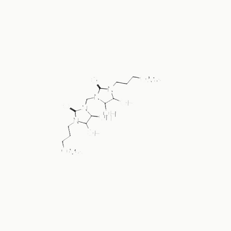 COCCCN1C(=O)N(CN2C(=O)N(CCCOC)C(O)C2O)C(O)C1O